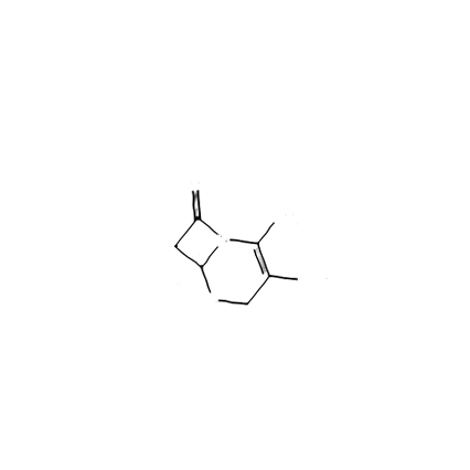 O=CC1=C(C(=O)O)N2C(=O)C[C@@H]2SC1